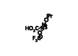 CC(C)c1ccc(-c2csc(N(CCC(=O)O)Cc3cccc(OC(F)(F)F)c3)n2)cc1